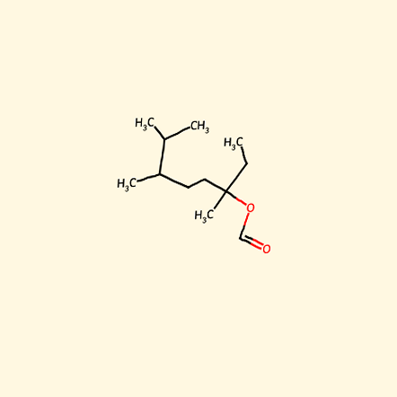 CCC(C)(CCC(C)C(C)C)OC=O